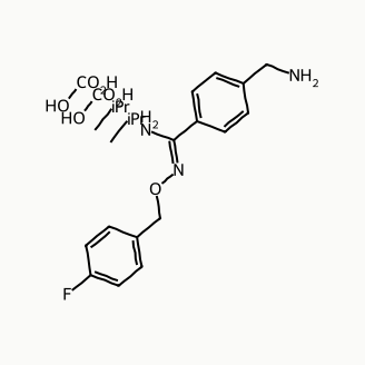 CC(C)C.CC(C)C.NCc1ccc(C(N)=NOCc2ccc(F)cc2)cc1.O=C(O)O.O=C(O)O